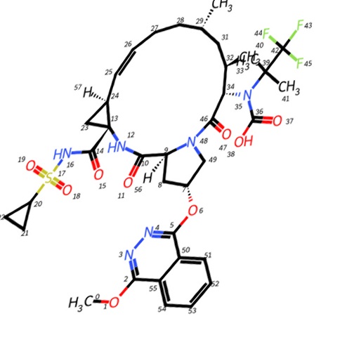 COc1nnc(O[C@@H]2C[C@H]3C(=O)N[C@]4(C(=O)NS(=O)(=O)C5CC5)C[C@H]4C=CCC[C@H](C)C[C@@H](C)[C@H](N(C(=O)O)C(C)(C)C(F)(F)F)C(=O)N3C2)c2ccccc12